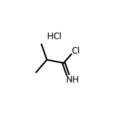 CC(C)C(=N)Cl.Cl